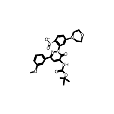 COc1cccc(-c2cc(NC(=O)OC(C)(C)C)c(=O)n(-c3cc(N4CCOCC4)ccc3[N+](=O)[O-])n2)c1